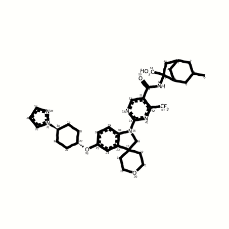 CC1CC2CC(C1)C(NC(=O)c1cnc(N3CC4(CCOCC4)c4cc(O[C@H]5CC[C@H](n6cccn6)CC5)ccc43)nc1C(F)(F)F)(C(=O)O)C2